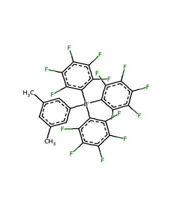 Cc1cc(C)cc([B-](c2c(F)c(F)c(F)c(F)c2F)(c2c(F)c(F)c(F)c(F)c2F)c2c(F)c(F)c(F)c(F)c2F)c1